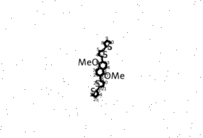 COc1c(-c2ccc(-c3cccs3)s2)ccc2c(OC)c(-c3ccc(-c4cccs4)s3)ccc12